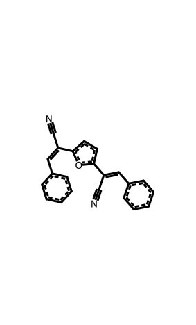 N#CC(=Cc1ccccc1)c1ccc(C(C#N)=Cc2ccccc2)o1